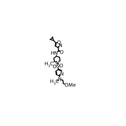 COCCN(C)c1ccc(S(=O)(=O)N2CC[C@H](NC(=O)c3cc(C4CC4)on3)C[C@H]2C)cn1